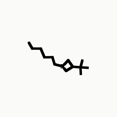 CCCCCCN1CC(C(C)(C)C)C1